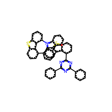 c1ccc(-c2nc(-c3ccccc3)nc(-c3cccc4sc5cc(-c6cccc7sc8cccc(-n9c%10ccccc%10c%10ccccc%109)c8c67)ccc5c34)n2)cc1